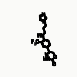 O=C1NN=C(c2ccc(NCCCn3ccnc3)c(C(F)(F)F)c2)CO1